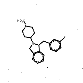 O=C(O)N1CCC(N2Cc3ccccc3C2Cc2cccc(F)c2)CC1